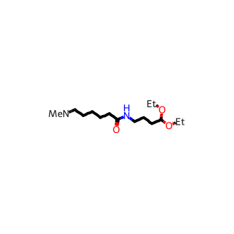 CCOC(CCCNC(=O)CCCCCNC)OCC